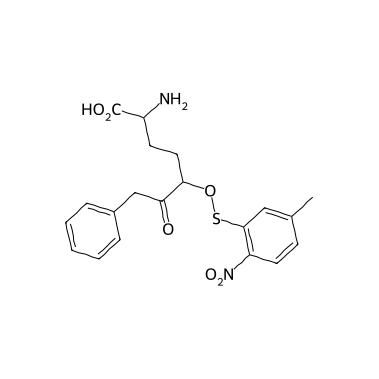 Cc1ccc([N+](=O)[O-])c(SOC(CCC(N)C(=O)O)C(=O)Cc2ccccc2)c1